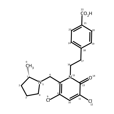 C[C@H]1CCCN1Cc1c(Cl)cc(Cl)c(=O)n1CCc1ccc(C(=O)O)cc1